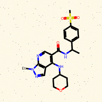 CCn1ncc2c(NC3CCOCC3)c(C(=O)NC(C)c3ccc(S(C)(=O)=O)cc3)cnc21